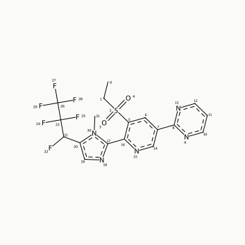 CCS(=O)(=O)c1cc(-c2ncccn2)cnc1-c1ncc(C(F)C(F)(F)C(F)(F)F)n1C